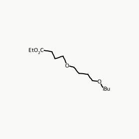 CCOC(=O)CCCOCCCCOC(C)CC